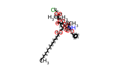 CCCCCCCCCCCCCCCCCC(=O)OCCC(CC(C(=O)O)C(=O)OCC(C)(C)C(=O)OCCl)OC(=O)[C@@H](NC(=O)OCc1ccccc1)C(C)C